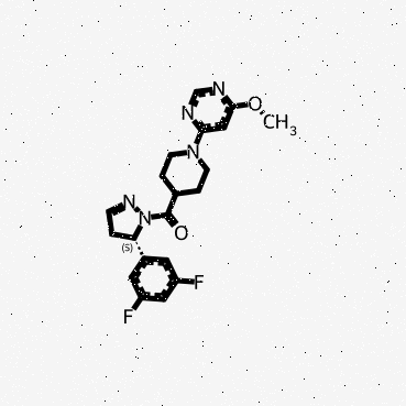 COc1cc(N2CCC(C(=O)N3N=CC[C@H]3c3cc(F)cc(F)c3)CC2)ncn1